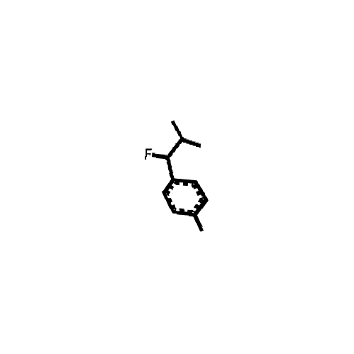 Cc1ccc(C(F)C(C)C)cc1